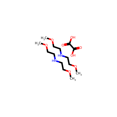 COCCNCCOC.COCCNCCOC.O=C(O)C(=O)O